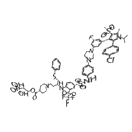 Cc1c(S(C)(=O)=O)c(-c2cc(F)cc(N3CCN(c4ccc(NS(=O)(=O)c5ccc(NC(CCN6CCC(C(=O)OCCP(=O)(O)O)CC6)CSc6ccccc6)c(S(=O)(=O)C(F)(F)F)c5)cc4)CC3)c2)c(-c2ccc(Cl)cc2)n1C(C)C